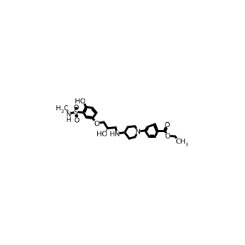 CCOC(=O)c1ccc(N2CCC(NC[C@H](O)COc3ccc(O)c(S(=O)(=O)NC)c3)CC2)cc1